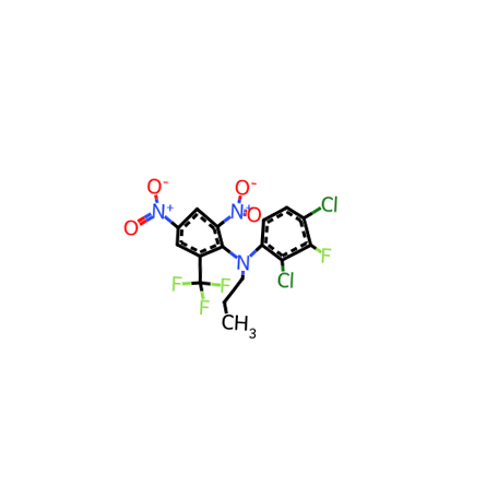 CCCN(c1ccc(Cl)c(F)c1Cl)c1c([N+](=O)[O-])cc([N+](=O)[O-])cc1C(F)(F)F